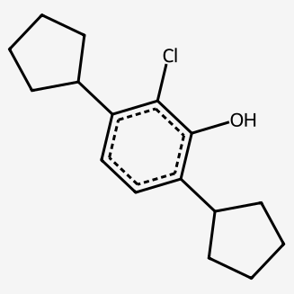 Oc1c(C2CCCC2)ccc(C2CCCC2)c1Cl